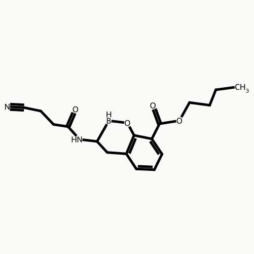 CCCCOC(=O)c1cccc2c1OBC(NC(=O)CCC#N)C2